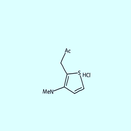 CNc1ccsc1CC(C)=O.Cl